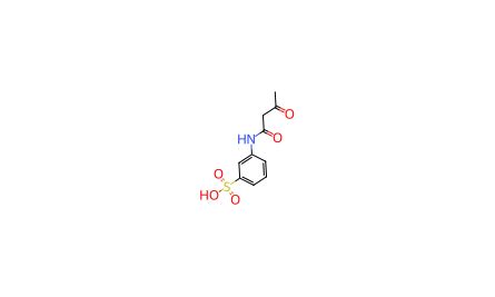 CC(=O)CC(=O)Nc1cccc(S(=O)(=O)O)c1